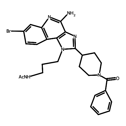 CC(=O)NCCCn1c(C2CCN(C(=O)c3ccccc3)CC2)nc2c(N)nc3cc(Br)ccc3c21